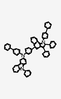 c1ccc(-c2ccc(N(c3ccc(-c4cc5c(-c6ccccc6)c(-c6ccccc6)n(-c6ccc(-c7ccccc7)cc6)c5c5ccccc45)cc3)c3ccc4c(c3)c3ccccc3n4-c3ccccc3)cc2)cc1